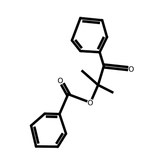 CC(C)(OC(=O)c1ccccc1)C(=O)c1ccccc1